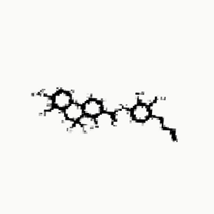 C=CCCc1ccc(OC(=O)c2ccc3c(c2F)C(F)(F)Cc2c-3ccc(CCC)c2F)c(F)c1F